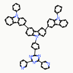 c1ccc(-n2c3ccccc3c3cc(-c4ccc5c(c4)c4cc(-c6ccc7c(c6)c6ccccc6n7-c6ccccc6)ccc4n5-c4ccc(-c5nc(-c6cccnc6)nc(-c6cccnc6)n5)cc4)ccc32)cc1